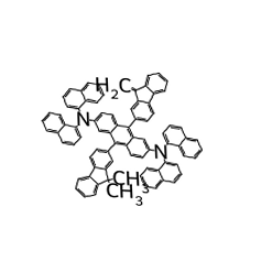 C=C1c2ccccc2-c2ccc(-c3c4ccc(N(c5cccc6ccccc56)c5cccc6ccccc56)cc4c(-c4ccc5c(c4)C(C)(C)c4ccccc4-5)c4ccc(N(c5cccc6ccccc56)c5cccc6ccccc56)cc34)cc21